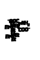 CC[N+](CC)(CC)CC.CC[N+](CC)(CC)CC.N[C@@H](CC(=O)[O-])C(=O)[O-]